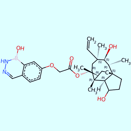 C=C[C@]1(C)C[C@@H](OC(=O)COc2ccc3c(c2)B(O)NN=C3)[C@]2(C)[C@H](C)CC[C@]3(CCC(O)[C@H]32)[C@@H](C)[C@@H]1O